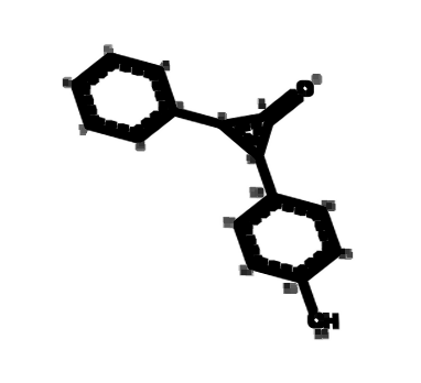 O=c1c(-c2ccccc2)c1-c1ccc(O)cc1